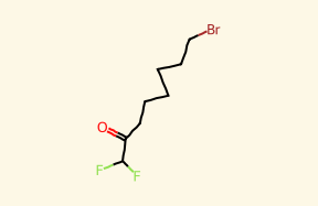 O=C(CCCCCCBr)C(F)F